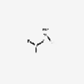 FB(F)F.[BH3-]C#N.[Na+]